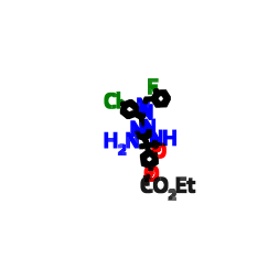 CCOC(=O)COc1ccc(C2(C)C(=O)Nc3nc(-c4nn(Cc5ccccc5F)c5cc(Cl)ccc45)nc(N)c32)cc1